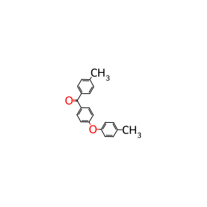 Cc1ccc(Oc2ccc(C(=O)c3ccc(C)cc3)cc2)cc1